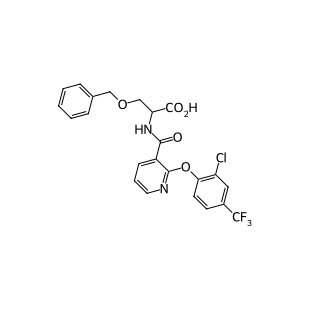 O=C(NC(COCc1ccccc1)C(=O)O)c1cccnc1Oc1ccc(C(F)(F)F)cc1Cl